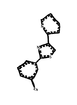 N#Cc1cccc(-c2nc(-c3ccccn3)cs2)c1